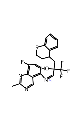 Cc1ncc2c(/N=C\C(O)(CC3CCSc4ccccc43)C(F)(F)F)ccc(F)c2n1